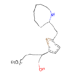 CCOC(=O)CC(O)c1ccc(CC2CCCCCN2)s1